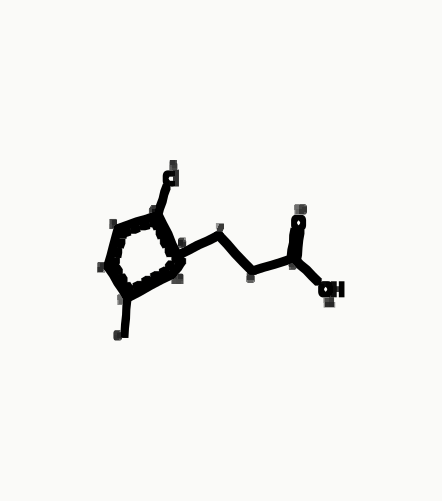 Cc1ccc(Cl)c(CCC(=O)O)c1